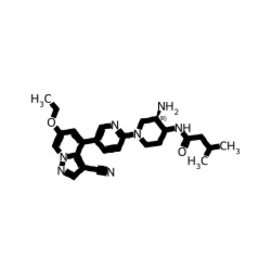 CCOc1cc(-c2ccc(N3CCC(NC(=O)CC(C)C)[C@H](N)C3)nc2)c2c(C#N)cnn2c1